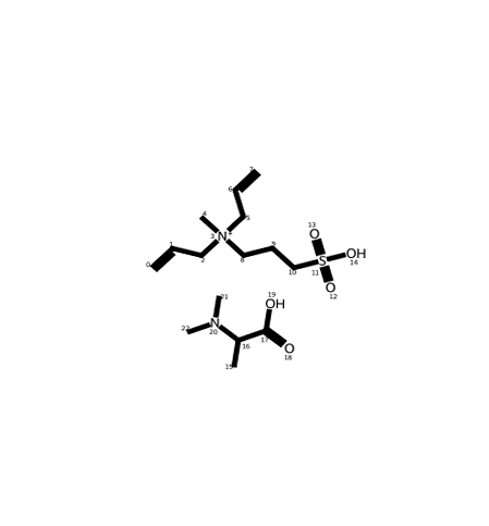 C=CC[N+](C)(CC=C)CCCS(=O)(=O)O.CC(C(=O)O)N(C)C